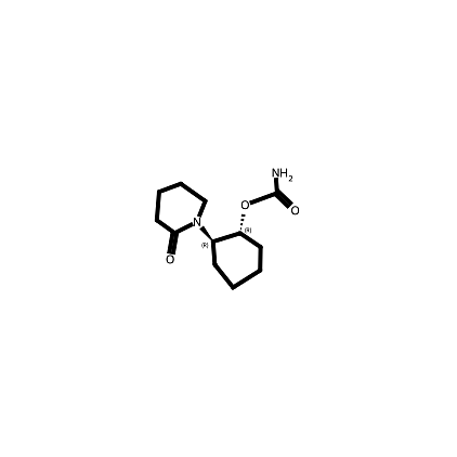 NC(=O)O[C@@H]1CCCC[C@H]1N1CCCCC1=O